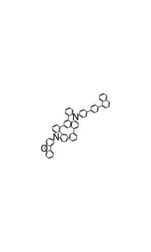 c1ccc(-c2ccc(N(c3ccc(-c4ccc(-c5cccc6ccccc56)cc4)cc3)c3ccccc3-c3cccc(-c4cccc5c4c4ccccc4n5-c4ccc5oc6ccccc6c5c4)c3)cc2)cc1